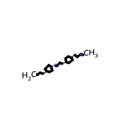 C=CCC[C@H]1CC[C@H](/C=C/CC[C@H]2CC[C@H](CC/C=C/C)CC2)CC1